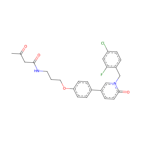 CC(=O)CC(=O)NCCCOc1ccc(-c2ccc(=O)n(Cc3ccc(Cl)cc3F)c2)cc1